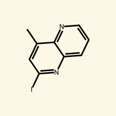 Cc1cc(I)nc2cccnc12